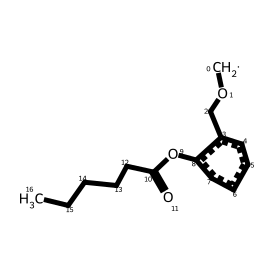 [CH2]OCc1ccccc1OC(=O)CCCCC